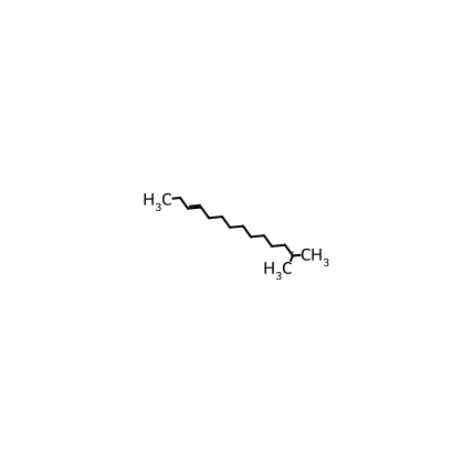 CCC=CCCCCCCCC[C](C)C